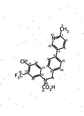 Cc1ccc(-c2ccc(CN(C(=O)O)c3ccc(Cl)c(C(F)(F)F)c3)cc2)cn1